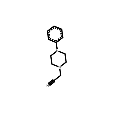 N#CCN1CCN(c2ccccc2)CC1